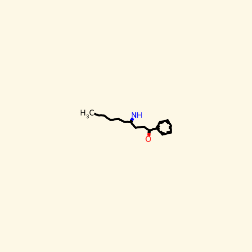 CCCCCCC(=N)CCC(=O)c1ccccc1